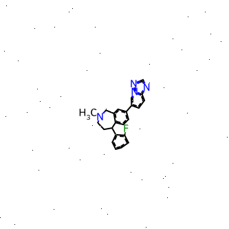 CN1CCC(c2ccccc2F)c2ccc(-c3ccc4ncnn4c3)cc2C1